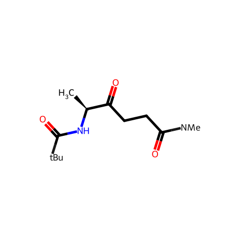 CNC(=O)CCC(=O)[C@H](C)NC(=O)C(C)(C)C